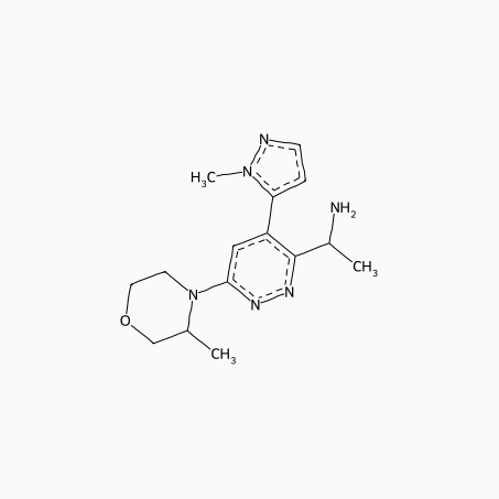 CC(N)c1nnc(N2CCOCC2C)cc1-c1ccnn1C